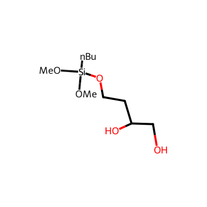 CCCC[Si](OC)(OC)OCCC(O)CO